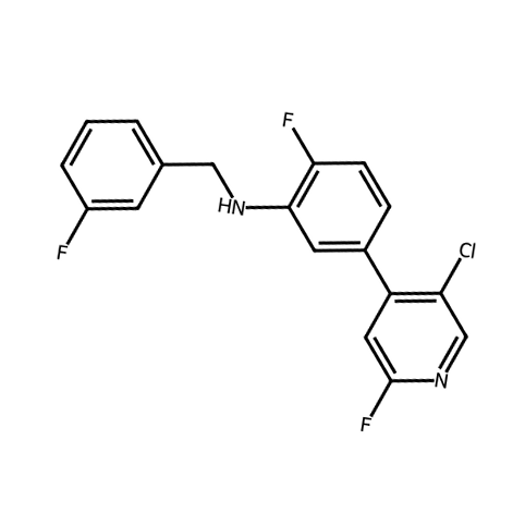 Fc1cccc(CNc2cc(-c3cc(F)ncc3Cl)ccc2F)c1